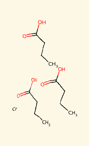 CCCC(=O)O.CCCC(=O)O.CCCC(=O)O.[Cr]